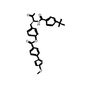 COc1ccc(-c2ccc(C(=O)Oc3ccc(C[C@H](NC(=O)c4ccc(C(C)(C)C)cc4)C(C)=O)cc3)cc2)cc1